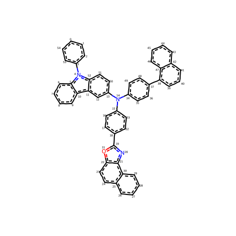 c1ccc(-n2c3ccccc3c3cc(N(c4ccc(-c5nc6c(ccc7ccccc76)o5)cc4)c4ccc(-c5cccc6ccccc56)cc4)ccc32)cc1